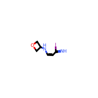 N=C(I)/C=C\NC1COC1